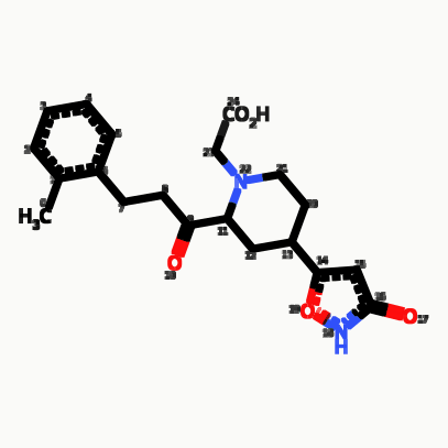 Cc1ccccc1CCC(=O)C1CC(c2cc(=O)[nH]o2)CCN1CC(=O)O